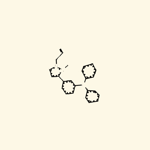 C=CCn1ccc(-c2cccc(P(c3ccccc3)c3ccccc3)c2)[n+]1C